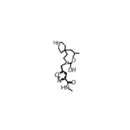 CNC(=O)c1cc(CN(CCC2(CC(C)C)CCNCC2)C(=O)O)on1